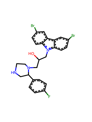 OC(CN1CCNCC1c1ccc(F)cc1)Cn1c2ccc(Br)cc2c2cc(Br)ccc21